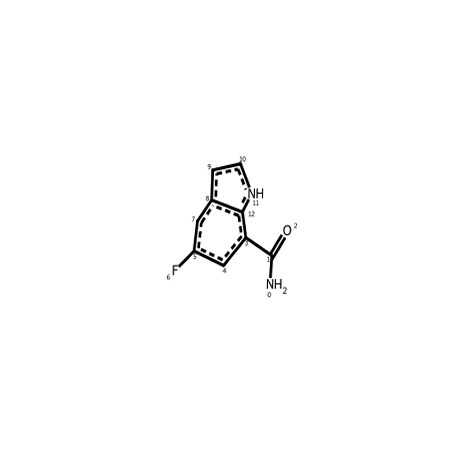 NC(=O)c1cc(F)cc2cc[nH]c12